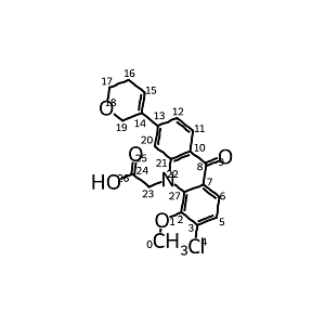 COc1c(Cl)ccc2c(=O)c3ccc(C4=CCCOC4)cc3n(CC(=O)O)c12